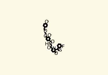 COc1ccc(COCCOc2ccc(C(=O)NCC(=O)c3ccc(OC)c(-c4csc5c(F)cccc45)n3)cc2OC)cc1